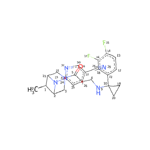 CC1C2CN(C(=O)CCNC3(c4ccc(F)c(F)c4)CC3)CC1N2c1ccc(C#N)cn1